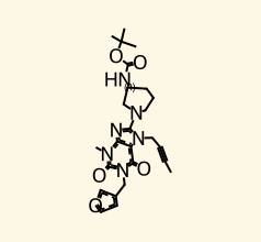 CC#CCn1c(N2CCC[C@@H](NC(=O)OC(C)(C)C)C2)nc2c1c(=O)n(Cc1ccoc1)c(=O)n2C